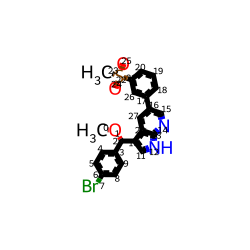 COC(c1ccc(Br)cc1)c1c[nH]c2ncc(-c3cccc(S(C)(=O)=O)c3)cc12